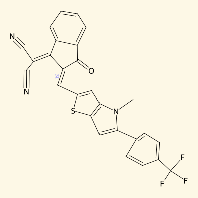 Cn1c(-c2ccc(C(F)(F)F)cc2)cc2sc(/C=C3\C(=O)c4ccccc4C3=C(C#N)C#N)cc21